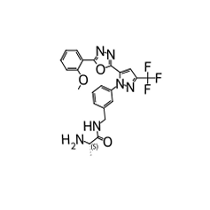 COc1ccccc1-c1nnc(-c2cc(C(F)(F)F)nn2-c2cccc(CNC(=O)[C@H](C)N)c2)o1